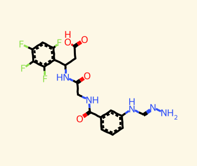 NN=CNc1cccc(C(=O)NCC(=O)NC(CC(=O)O)c2c(F)cc(F)c(F)c2F)c1